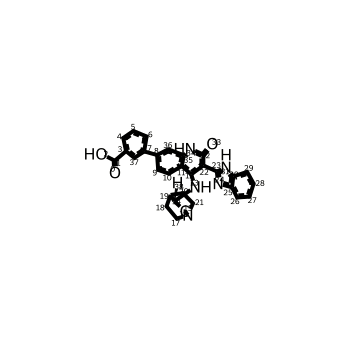 O=C(O)c1cccc(-c2ccc3c(N[C@@H]4CN5CCC4CC5)c(-c4nc5ccccc5[nH]4)c(=O)[nH]c3c2)c1